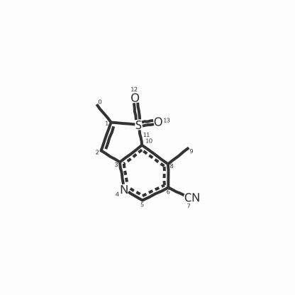 CC1=Cc2ncc(C#N)c(C)c2S1(=O)=O